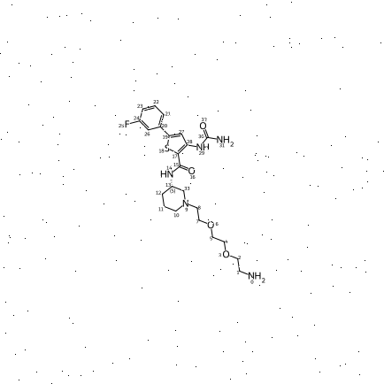 NCCOCCOCCN1CCC[C@H](NC(=O)c2sc(-c3cccc(F)c3)cc2NC(N)=O)C1